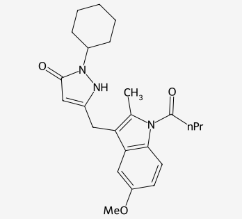 CCCC(=O)n1c(C)c(Cc2cc(=O)n(C3CCCCC3)[nH]2)c2cc(OC)ccc21